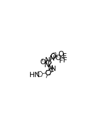 COc1nc(N2CC3CC(OC(=O)C(F)(F)F)(C2)O3)cc(-n2ncc3cc(C)c(C4CCNCC4)cc32)n1